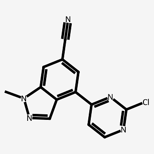 Cn1ncc2c(-c3ccnc(Cl)n3)cc(C#N)cc21